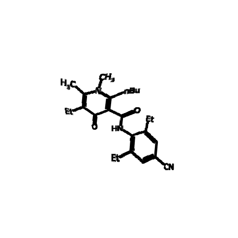 CCCCc1c(C(=O)Nc2c(CC)cc(C#N)cc2CC)c(=O)c(CC)c(C)n1C